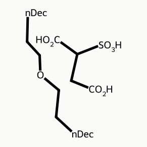 CCCCCCCCCCCCOCCCCCCCCCCCC.O=C(O)CC(C(=O)O)S(=O)(=O)O